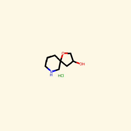 Cl.OC1COC2(CCCNC2)C1